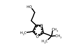 Cc1oc(C(C)(C)C)nc1CCO